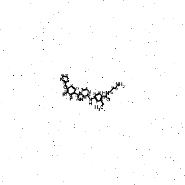 CCc1cc(Nc2nccn3c(-c4ccc(Oc5nccs5)c(F)c4F)cnc23)ccc1C(=O)NCCCN